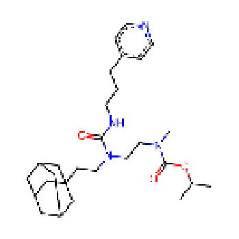 CC(C)OC(=O)N(C)CCN(CCC12CC3CC(CC(C3)C1)C2)C(=O)NCCCc1ccncc1